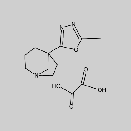 Cc1nnc(C23CCCN(CC2)C3)o1.O=C(O)C(=O)O